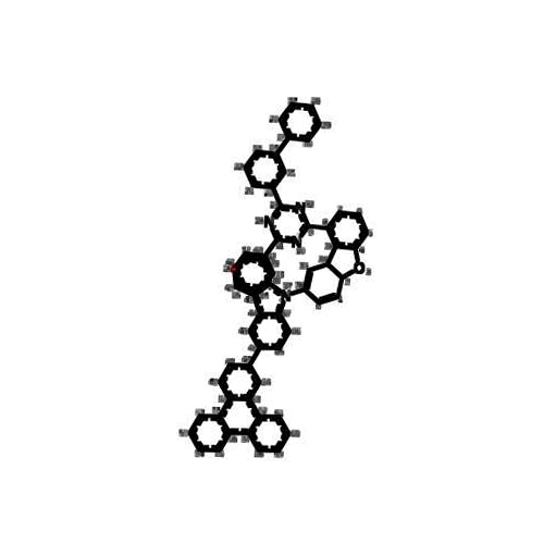 C1=CC2Oc3cccc(-c4nc(-c5ccccc5)nc(-c5cccc(-c6ccccc6)c5)n4)c3C2C=C1n1c2ccccc2c2cc(-c3ccc4c5ccccc5c5ccccc5c4c3)ccc21